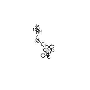 C[n+]1cc(-c2ccc(OCC(ON3C(=O)c4ccccc4C3=O)C(=O)OC(C)(C)C)cc2)cn1CCCNC(=O)OC(C)(C)C